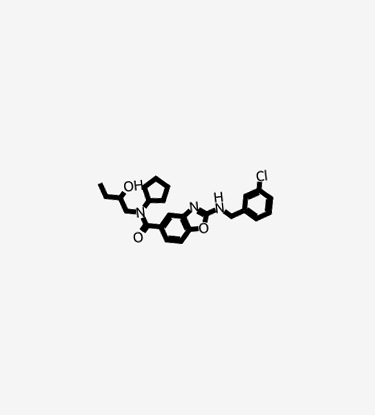 CCC(O)CN(C(=O)c1ccc2oc(NCc3cccc(Cl)c3)nc2c1)C1CCCC1